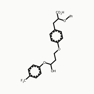 CC(C)OC(Cc1ccc(OCCC(O)Oc2ccc(C(F)(F)F)cc2)cc1)C(=O)O